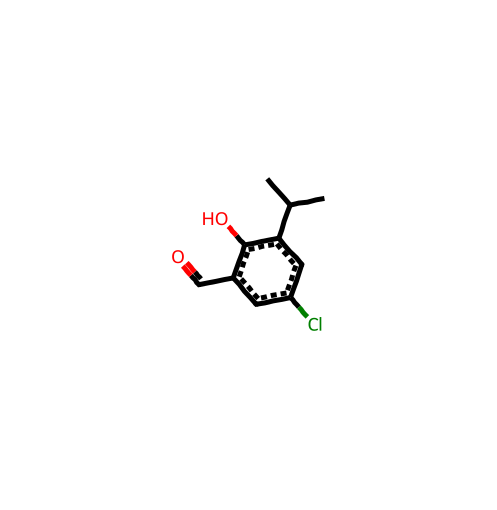 CC(C)c1cc(Cl)cc(C=O)c1O